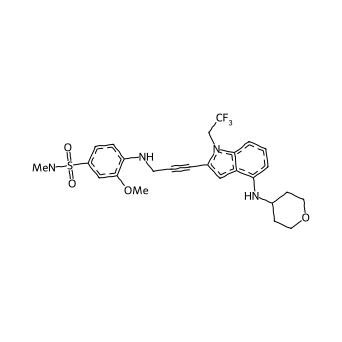 CNS(=O)(=O)c1ccc(NCC#Cc2cc3c(NC4CCOCC4)cccc3n2CC(F)(F)F)c(OC)c1